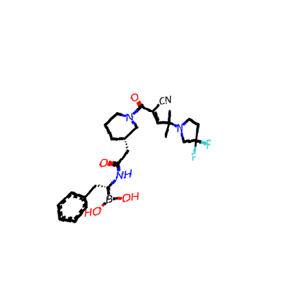 CC(C)(C=C(C#N)C(=O)N1CCC[C@@H](CC(=O)N[C@@H](Cc2ccccc2)B(O)O)C1)N1CCC(F)(F)C1